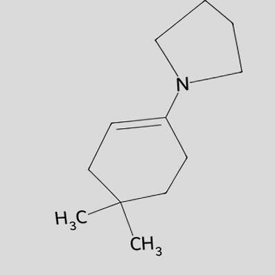 CC1(C)CC=C(N2CCCC2)CC1